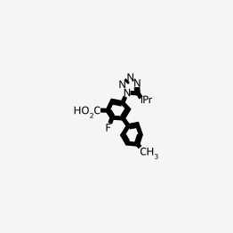 Cc1ccc(-c2cc(-n3nnnc3C(C)C)cc(C(=O)O)c2F)cc1